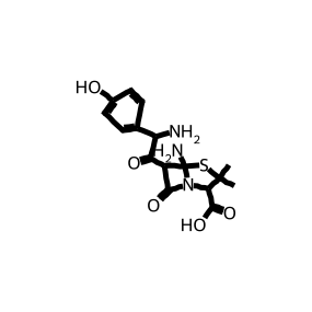 CC1(C)SC2(N)C(C(=O)C(N)c3ccc(O)cc3)C(=O)N2C1C(=O)O